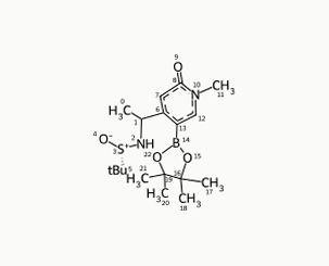 CC(N[S@@+]([O-])C(C)(C)C)c1cc(=O)n(C)cc1B1OC(C)(C)C(C)(C)O1